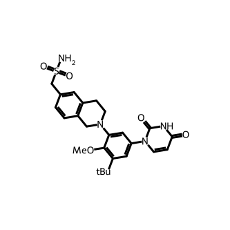 COc1c(N2CCc3cc(CS(N)(=O)=O)ccc3C2)cc(-n2ccc(=O)[nH]c2=O)cc1C(C)(C)C